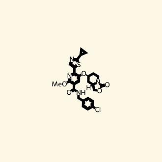 COc1nc(-c2cnc(C3CC3)s2)c(O[C@H]2CCN3C(=O)OC[C@@H]3C2)cc1C(=O)NCc1ccc(Cl)cc1